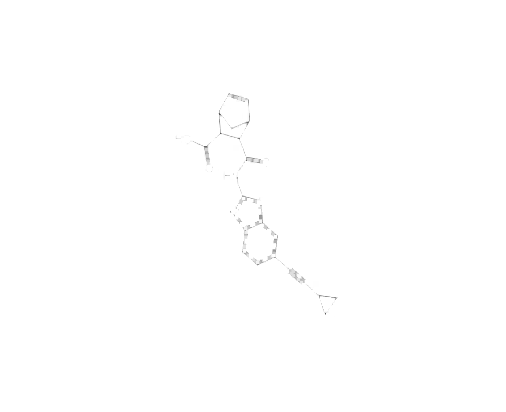 O=C(O)C1C2C=CC(C2)C1C(=O)Nc1nc2ccc(C#CC3CC3)cc2s1